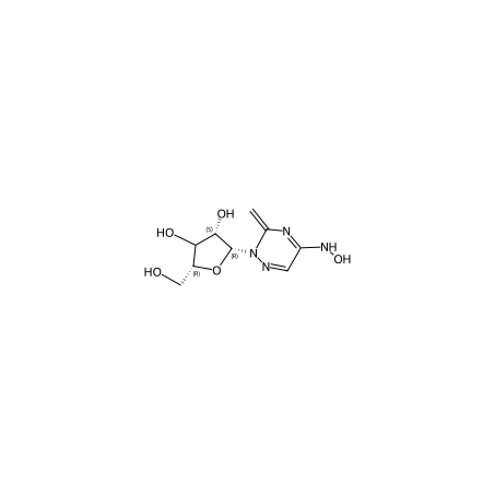 C=C1N=C(NO)C=NN1[C@@H]1O[C@H](CO)C(O)[C@@H]1O